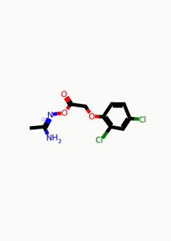 C/C(N)=N/OC(=O)COc1ccc(Cl)cc1Cl